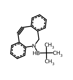 CC(C)(C)BN1Cc2ccccc2C#Cc2ccccc21